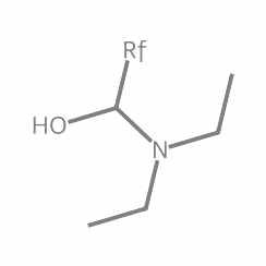 CCN(CC)[CH](O)[Rf]